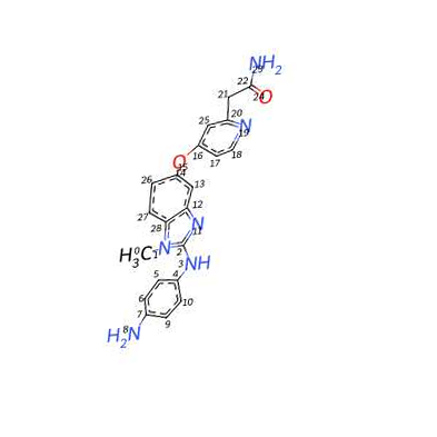 Cn1c(Nc2ccc(N)cc2)nc2cc(Oc3ccnc(CC(N)=O)c3)ccc21